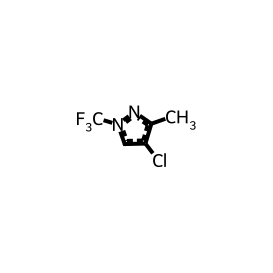 Cc1nn(C(F)(F)F)cc1Cl